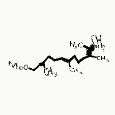 COC/C=C(\C)CC/C=C(\C)CCC(C)=C(C)C